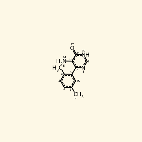 Cc1ccc(C)c(-c2nc[nH]c(=O)c2N)c1